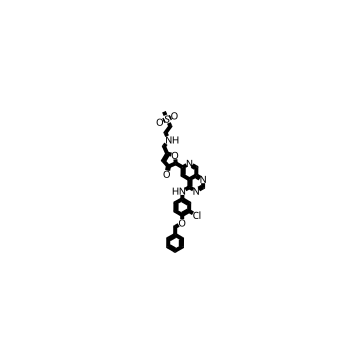 CS(=O)(=O)CCNCC1=CC(=O)C(c2cc3c(Nc4ccc(OCc5ccccc5)c(Cl)c4)ncnc3cn2)O1